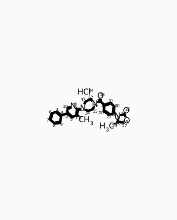 Cc1cc(-c2ccccc2)cnc1N1CCN(C(=O)c2ccc(N3C(=O)OC[C@H]3C)cc2)CC1.Cl